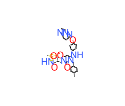 Cc1ccc(Cn2c(Nc3ccc(Oc4ccc5nccn5n4)cc3)cc(=O)n(C[C@H](C)C(=O)N[S+](C)[O-])c2=O)cc1